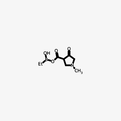 CCB(O)OC(=O)C1CN(C)CC1=O